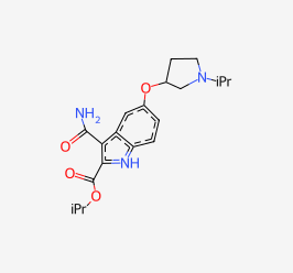 CC(C)OC(=O)c1[nH]c2ccc(OC3CCN(C(C)C)C3)cc2c1C(N)=O